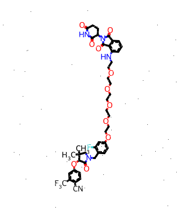 CC1(C)CN(Cc2ccc(OCCOCCOCCOCCOCCNc3cccc4c3C(=O)N(C3CCC(=O)NC3=O)C4=O)cc2F)C(=O)C1Oc1ccc(C#N)c(C(F)(F)F)c1